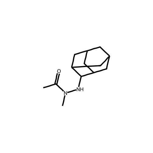 CC(=O)N(C)NC1C2CC3CC(C2)CC1C3